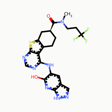 CN(CCC(F)(F)F)C(=O)[C@H]1CCc2c(sc3ncnc(Nc4cc5cn[nH]c5nc4O)c23)C1